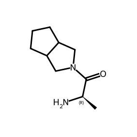 C[C@@H](N)C(=O)N1CC2CCCC2C1